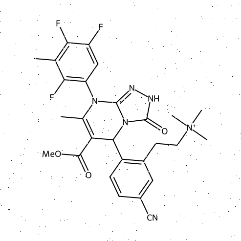 COC(=O)C1=C(C)N(c2cc(F)c(F)c(C)c2F)c2n[nH]c(=O)n2C1c1ccc(C#N)cc1CC[N+](C)(C)C